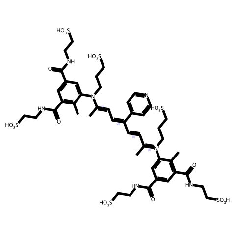 C\C(=C/C=C(/C=C/C(C)=[N+](\CCCS(=O)(=O)O)c1cc(C(=O)NCCS(=O)(=O)O)cc(C(=O)NCCS(=O)(=O)O)c1C)c1ccncc1)N(CCCS(=O)(=O)O)c1cc(C(=O)NCCS(=O)(=O)O)cc(C(=O)NCCS(=O)(=O)O)c1C